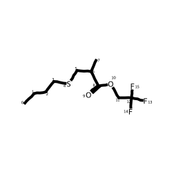 CCCCSCC(C)C(=O)OCC(F)(F)F